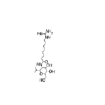 CC(C)[C@@H]1OC(CO)[C@@H](O)[C@H](O)C1NC(=O)CCCCCCCNC(=N)N